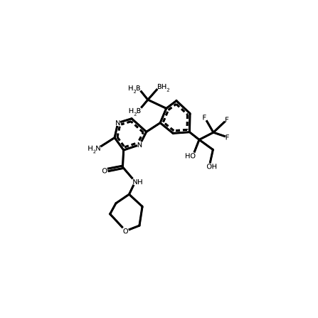 BC(B)(B)c1ccc(C(O)(CO)C(F)(F)F)cc1-c1cnc(N)c(C(=O)NC2CCOCC2)n1